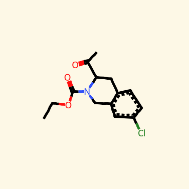 CCOC(=O)N1Cc2cc(Cl)ccc2CC1C(C)=O